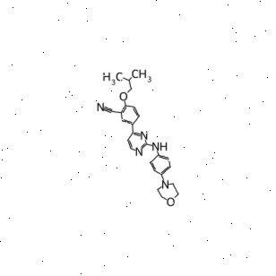 CC(C)COc1ccc(-c2ccnc(Nc3ccc(N4CCOCC4)cc3)n2)cc1C#N